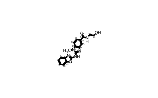 Cn1c(Nc2nc3ccccc3o2)nc2cc(C(=O)NCCO)ccc21